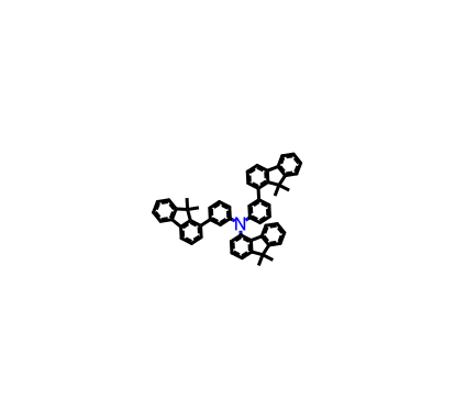 CC1(C)c2ccccc2-c2c(N(c3cccc(-c4cccc5c4C(C)(C)c4ccccc4-5)c3)c3cccc(-c4cccc5c4C(C)(C)c4ccccc4-5)c3)cccc21